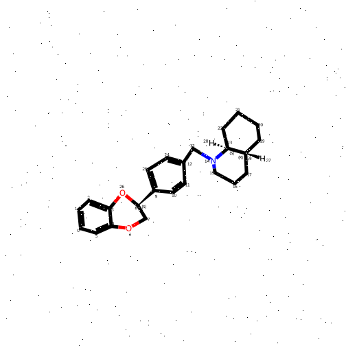 c1ccc2c(c1)OC[C@H](c1ccc(CN3CCC[C@H]4CCCC[C@@H]43)cc1)O2